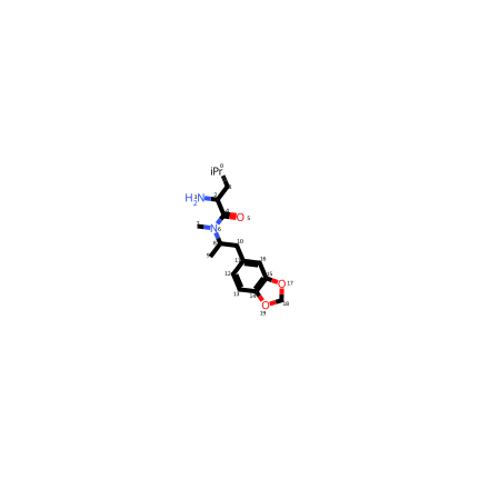 CC(C)CC(N)C(=O)N(C)C(C)Cc1ccc2c(c1)OCO2